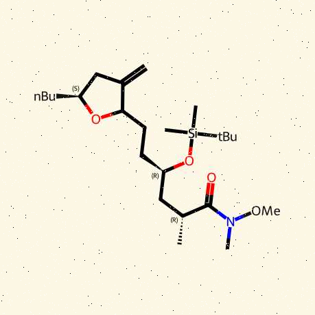 C=C1C[C@H](CCCC)OC1CC[C@H](C[C@@H](C)C(=O)N(C)OC)O[Si](C)(C)C(C)(C)C